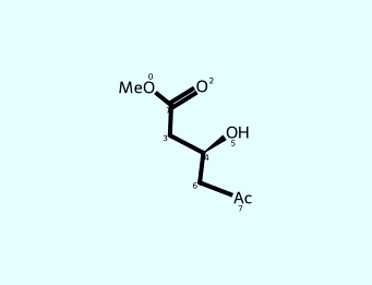 COC(=O)C[C@@H](O)CC(C)=O